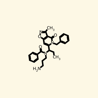 CCC(c1cc2onc(C)c2c(=O)n1Cc1ccccc1)N(CCCN)C(=O)c1ccccc1